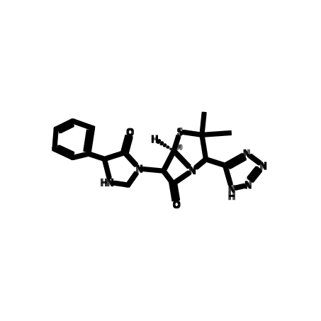 CC1(C)S[C@@H]2C(N3CNC(c4ccccc4)C3=O)C(=O)N2C1c1nnn[nH]1